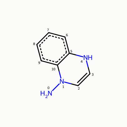 NN1C=CNc2ccccc21